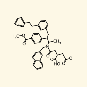 COC(=O)c1ccc(C(Cc2cccc(CCc3ccccc3)c2)C(C)N(Cc2ccc3ccccc3c2)C(=O)CC(CC(=O)O)C(=O)O)cc1